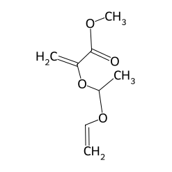 C=COC(C)OC(=C)C(=O)OC